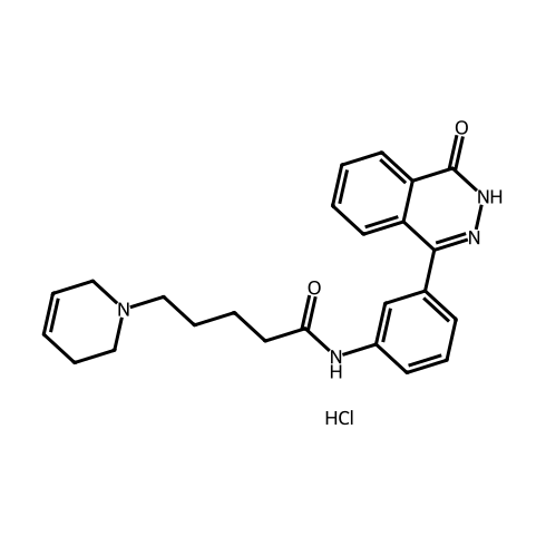 Cl.O=C(CCCCN1CC=CCC1)Nc1cccc(-c2n[nH]c(=O)c3ccccc23)c1